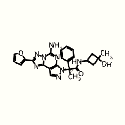 CC1(O)CC(NC(=O)[C@@](C)(c2ccccc2)n2ncc3c2nc(N)n2nc(-c4ccco4)nc32)C1